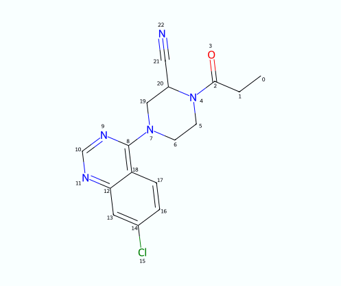 CCC(=O)N1CCN(c2ncnc3cc(Cl)ccc23)CC1C#N